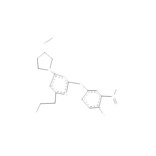 CCCc1cc(N2CC[C@H](NC)C2)nc(Nc2ccc(N)c([N+](=O)[O-])c2)n1